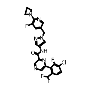 O=C(Nc1cnn(Cc2cnc(N3CCC3)c(F)c2)c1)c1cncc(-c2c(C(F)F)ccc(Cl)c2F)n1